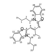 CCCCN1C(=CC(=Cc2oc3ccccc3[n+]2CCCC)CC)Oc2ccccc21